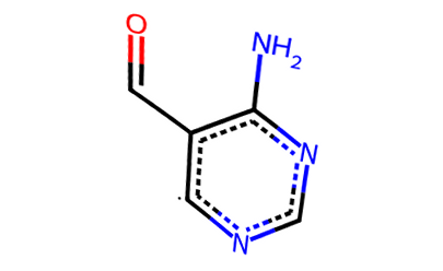 Nc1ncn[c]c1C=O